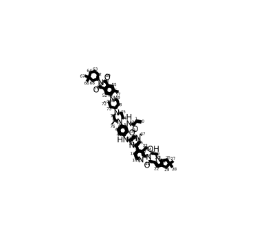 C=CC(=O)Nc1cc(Nc2nc(-c3ccnc(N4CCn5c(cc6c5CC(C)(C)C6)C4=O)c3CO)cn(C)c2=O)ccc1N1CCN(C2CCN(c3cc4c(cc3C)C(=O)N(C3CCCC(C)(C)C3)C4=O)[C@@H](C)C2)C[C@@H]1C